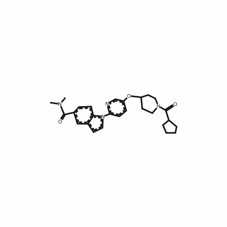 CN(C)C(=O)c1ccc2c(ccn2-c2ccc(OC3CCN(C(=O)C4CCCC4)CC3)cn2)c1